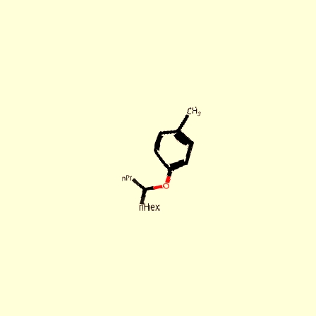 CCCCCCC(CCC)Oc1ccc(C)cc1